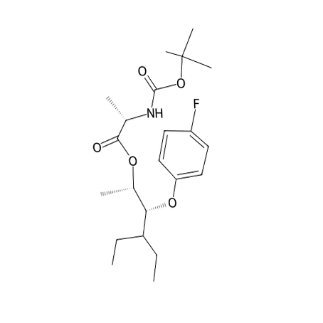 CCC(CC)[C@@H](Oc1ccc(F)cc1)[C@H](C)OC(=O)[C@H](C)NC(=O)OC(C)(C)C